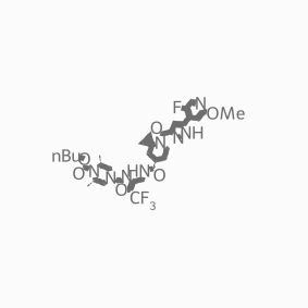 CCCCOC(=O)N1[C@H](C)CN(c2nc(CNC(=O)[C@H]3CCN(C(=O)c4cc(-c5cc(OC)ncc5F)[nH]n4)C4(CC4)C3)c(C(F)(F)F)o2)C[C@@H]1C